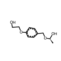 C[C@H](O)OCc1ccc(OCCO)cc1